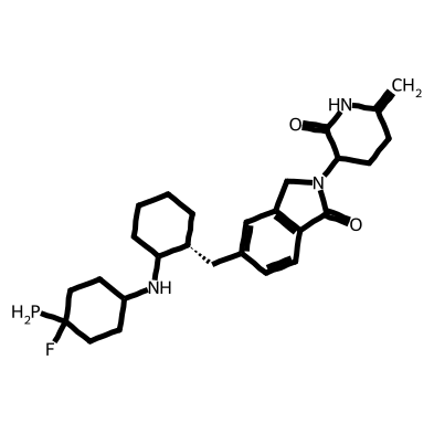 C=C1CCC(N2Cc3cc(C[C@H]4CCCCC4NC4CCC(F)(P)CC4)ccc3C2=O)C(=O)N1